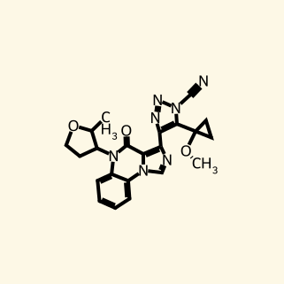 COC1(c2c(-c3ncn4c3c(=O)n(C3CCOC3C)c3ccccc34)nnn2C#N)CC1